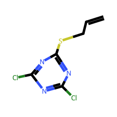 C=CCSc1nc(Cl)nc(Cl)n1